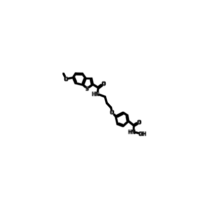 COc1ccc2cc(C(=O)NCCCOc3ccc(C(=O)NO)cc3)sc2c1